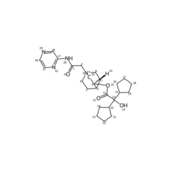 O=C(C[N+]12CCC(CC1)[C@@H](OC(=O)C(O)(C1CCCC1)C1CCCC1)C2)Nc1cnccn1